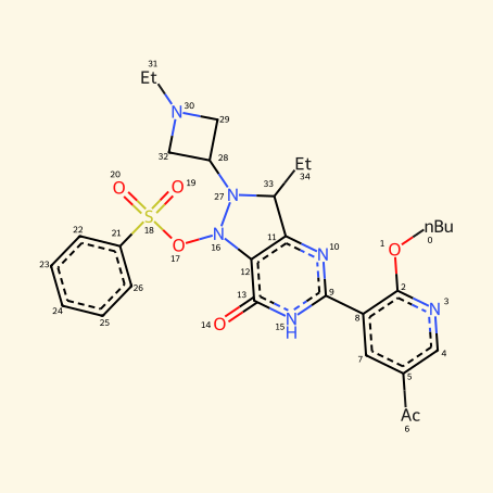 CCCCOc1ncc(C(C)=O)cc1-c1nc2c(c(=O)[nH]1)N(OS(=O)(=O)c1ccccc1)N(C1CN(CC)C1)C2CC